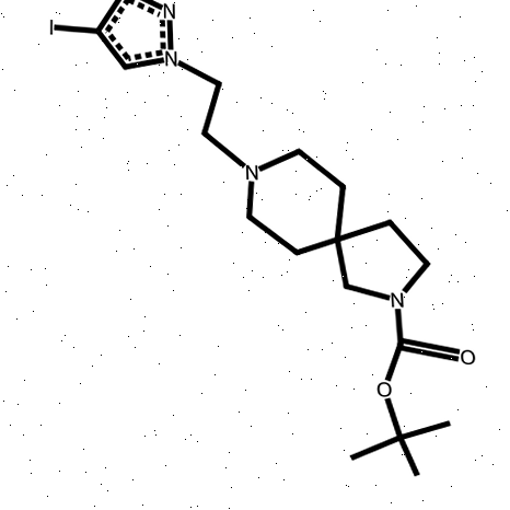 CC(C)(C)OC(=O)N1CCC2(CCN(CCn3cc(I)cn3)CC2)C1